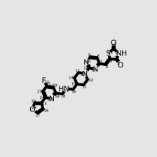 O=C1NC(=O)/C(=C/c2ccnc(N3CCC(CNCc4cc(F)cc(-c5ccoc5)n4)CC3)n2)S1